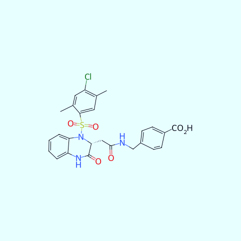 Cc1cc(S(=O)(=O)N2c3ccccc3NC(=O)[C@H]2CC(=O)NCc2ccc(C(=O)O)cc2)c(C)cc1Cl